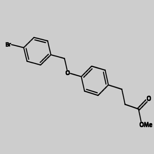 COC(=O)CCc1ccc(OCc2ccc(Br)cc2)cc1